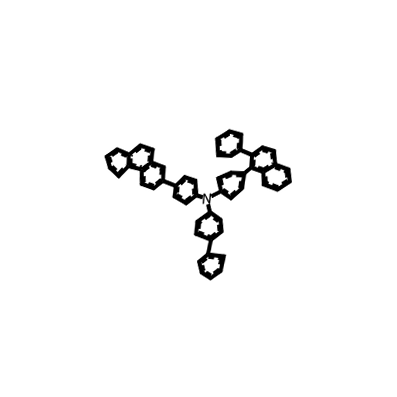 c1ccc(-c2ccc(N(c3ccc(-c4ccc5c(ccc6ccccc65)c4)cc3)c3ccc(-c4c(-c5ccccc5)ccc5ccccc45)cc3)cc2)cc1